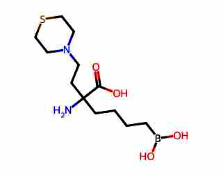 NC(CCCCB(O)O)(CCN1CCSCC1)C(=O)O